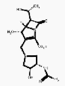 C[C@@H](O)[C@H]1C(=O)N2C(C(=O)O)=C(CN3C[C@H](NC(=N)N)[C@@H](O)C3)[C@H](C)[C@H]12